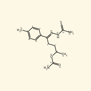 Cc1ccc(C(CCC(C)OC(N)=O)=NNC(N)=S)cc1